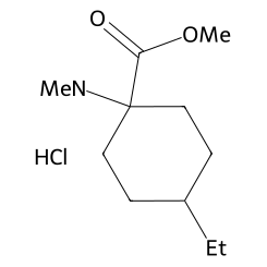 CCC1CCC(NC)(C(=O)OC)CC1.Cl